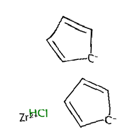 Cl.[Zr+2].c1cc[cH-]c1.c1cc[cH-]c1